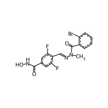 CN(N=Cc1c(F)cc(C(=O)NO)cc1F)C(=O)c1ccccc1Br